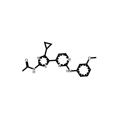 COc1cccc(Nc2nccc(-c3sc(NC(C)=O)nc3C3CC3)n2)c1